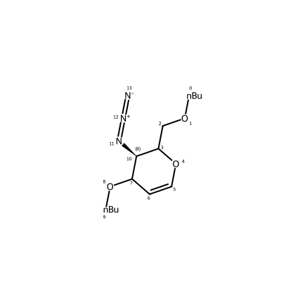 CCCCOCC1OC=CC(OCCCC)[C@H]1N=[N+]=[N-]